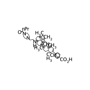 C=C(C)[C@@H]1CC[C@]2(NCCN3CCN(C(=O)CCC)CC3)CC[C@]3(C)[C@H](CCC4[C@@]5(C)CC=C(c6ccc(C(=O)O)cc6)C(C)(C)C5CC[C@]43C)C12